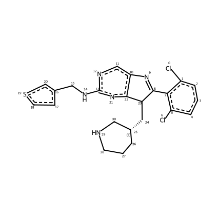 Clc1cccc(Cl)c1C1=Nc2cnc(NCc3ccsc3)nc2C1C[C@@H]1CCCNC1